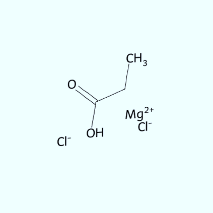 CCC(=O)O.[Cl-].[Cl-].[Mg+2]